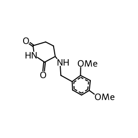 COc1ccc(CNC2CCC(=O)NC2=O)c(OC)c1